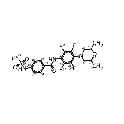 CC1CN(c2c(F)c(F)c(NC(=O)c3ccc(NS(=O)(=O)C(C)C)cc3)c(F)c2F)C[C@@H](C)O1